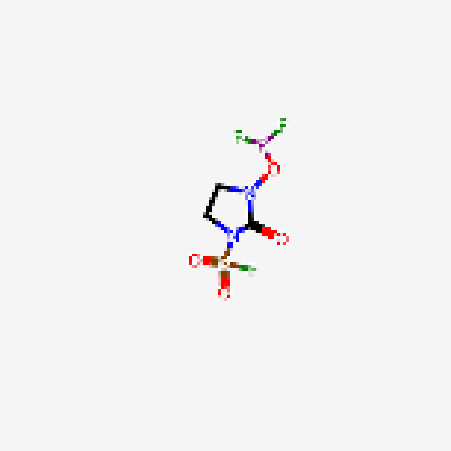 O=C1N(OP(F)F)CCN1S(=O)(=O)F